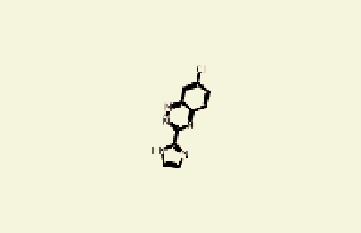 Clc1ccc2nc(-c3ncc[nH]3)nnc2c1